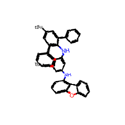 CC(C)(C)c1cc(Nc2c(-c3ccccc3)cc(C(C)(C)C)cc2-c2ccccc2)cc(Nc2cccc3oc4ccccc4c23)c1